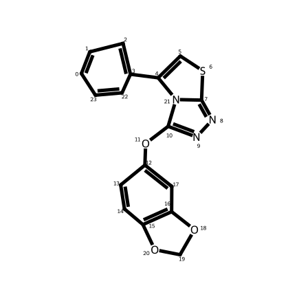 c1ccc(-c2csc3nnc(Oc4ccc5c(c4)OCO5)n23)cc1